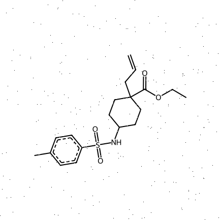 C=CCC1(C(=O)OCC)CCC(NS(=O)(=O)c2ccc(C)cc2)CC1